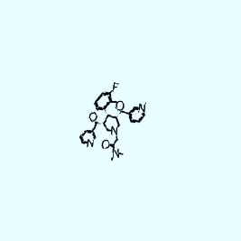 Cc1c(F)cccc1[C@H]1[C@@H](C(=O)c2cccnc2)CN(CC(=O)N(C)C)C[C@H]1C(=O)c1cccnc1